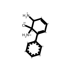 NC1C=CC=C(c2ccccc2)C1(N)Cl